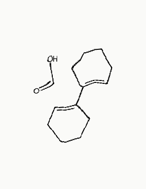 C1=C(C2=CCCCC2)CCCC1.O=CO